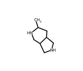 CC1CC2CNCC2CN1